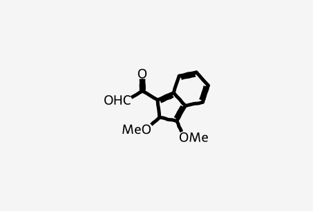 COC1=c2ccccc2=C(C(=O)C=O)C1OC